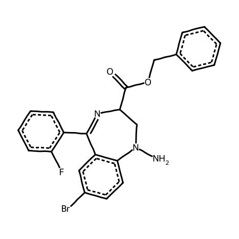 NN1CC(C(=O)OCc2ccccc2)N=C(c2ccccc2F)c2cc(Br)ccc21